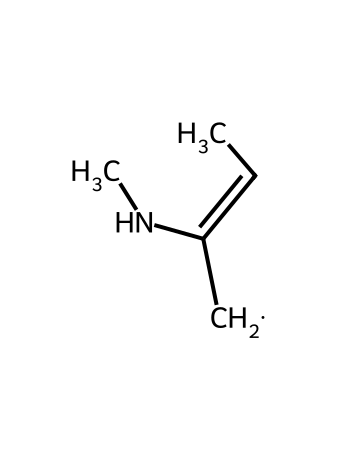 [CH2]C(=CC)NC